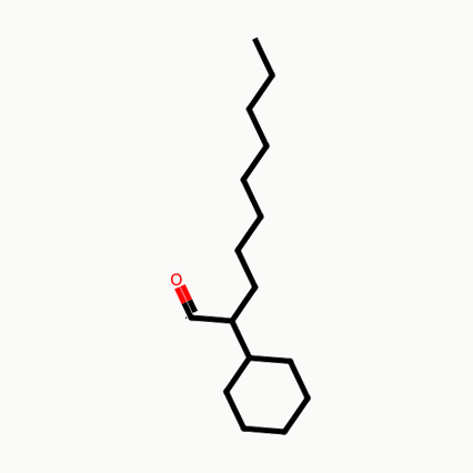 CCCCCCCCC([C]=O)C1CCCCC1